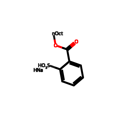 CCCCCCCCOC(=O)c1ccccc1S(=O)(=O)O.[NaH]